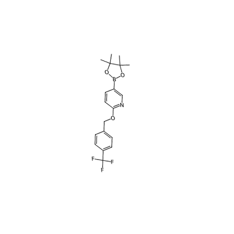 CC1(C)OB(c2ccc(OCc3ccc(C(F)(F)F)cc3)nc2)OC1(C)C